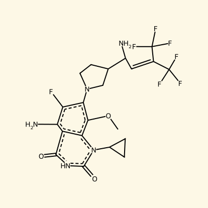 COc1c(N2CCC(C(N)C=C(C(F)(F)F)C(F)(F)F)C2)c(F)c(N)c2c(=O)[nH]c(=O)n(C3CC3)c12